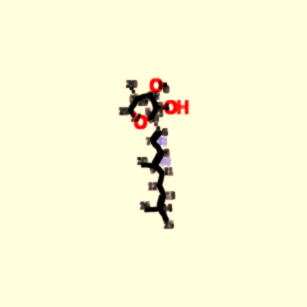 CO[C@@H]1[C@@H](O)[C@H](/C=C/C=C(\C)CCC=C(C)C)OC[C@@H]1C